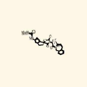 CNC(=O)Nc1ccc2c(c1)CC[C@@]21OC(=O)N(CC(=O)N2Cc3ccccc3CC[C@@H]2C(F)(F)F)C1=O